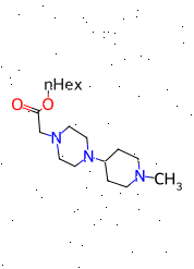 CCCCCCOC(=O)CN1CCN(C2CCN(C)CC2)CC1